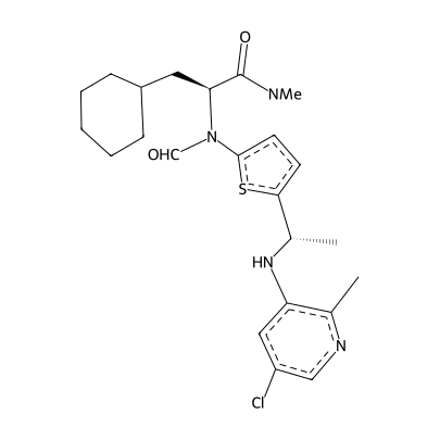 CNC(=O)[C@H](CC1CCCCC1)N(C=O)c1ccc([C@H](C)Nc2cc(Cl)cnc2C)s1